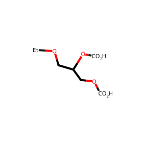 CCOCC(COC(=O)O)OC(=O)O